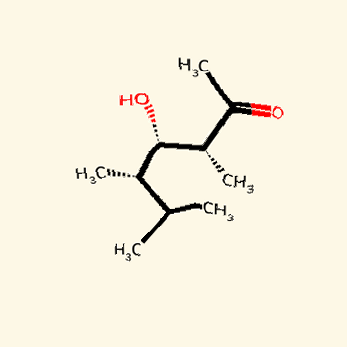 CC(=O)[C@H](C)[C@@H](O)[C@@H](C)C(C)C